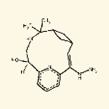 CC1(C)NC[C@H](O)c2cccc(n2)/C(NN)=C/C2CC1C2